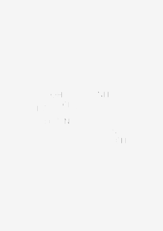 CSc1cc2c(c([C@@H]3CCCN3)c1)CN(C(=O)C(C)(C)O)CC2